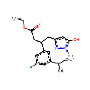 CCOC(=O)CC(Cc1cc(O)n(C)n1)c1cc(Br)cc(C(C)C)c1